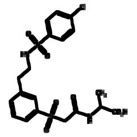 CC(NC(=O)CS(=O)(=O)c1cccc(CCNS(=O)(=O)c2ccc(Cl)cc2)c1)C(=O)O